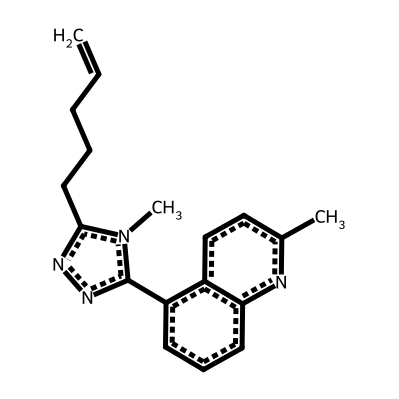 C=CCCCc1nnc(-c2cccc3nc(C)ccc23)n1C